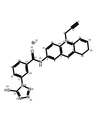 C#CC[n+]1c2c(cc3cc(NC(=O)c4cccc(-n5nnnc5S)c4)ccc31)CCC=C2.[Br-]